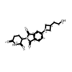 O=C1CCC(N2C(=O)c3ccc(N4CC(CCO)C4)cc3C2=O)C(=O)N1